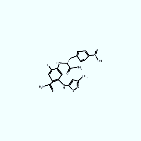 Cc1cc(Nc2cc(N[C@H](Cc3ccc(S(=O)O)cc3)C(N)=O)c(F)cc2C(N)=O)sn1